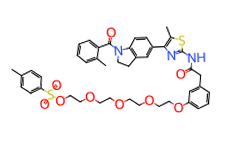 Cc1ccc(S(=O)(=O)OCCOCCOCCOCCOc2cccc(CC(=O)Nc3nc(-c4ccc5c(c4)CCN5C(=O)c4ccccc4C)c(C)s3)c2)cc1